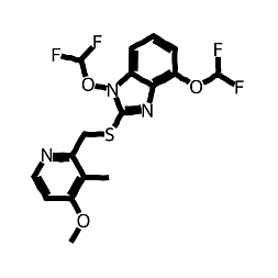 COc1ccnc(CSc2nc3c(OC(F)F)cccc3n2OC(F)F)c1C